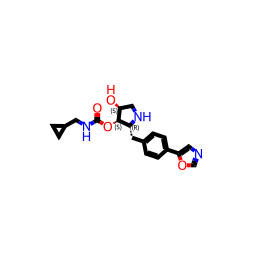 O=C(NCC1CC1)O[C@@H]1[C@@H](O)CN[C@@H]1Cc1ccc(-c2cnco2)cc1